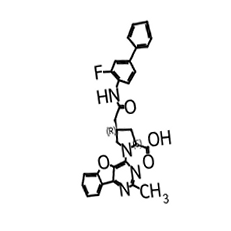 Cc1nc(N2C[C@@H](CC(=O)Nc3ccc(-c4ccccc4)cc3F)C[C@H]2C(=O)O)c2oc3ccccc3c2n1